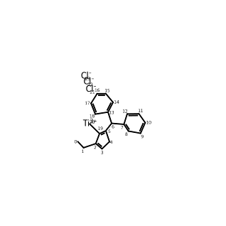 CCC1=CCC(C(c2ccccc2)c2ccccc2)=[C]1[Ti+3].[Cl-].[Cl-].[Cl-]